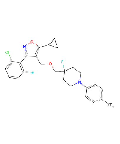 Fc1cccc(Cl)c1-c1noc(C2CC2)c1COCC1(F)CCN(c2ccc(C(F)(F)F)cc2)CC1